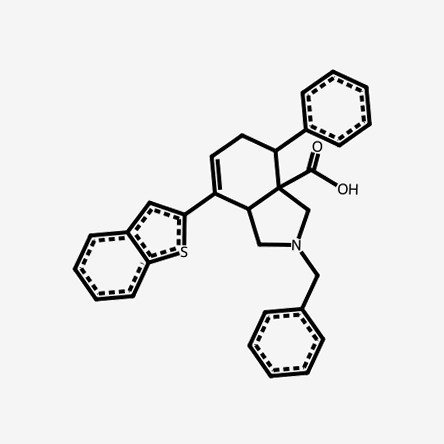 O=C(O)C12CN(Cc3ccccc3)CC1C(c1cc3ccccc3s1)=CCC2c1ccccc1